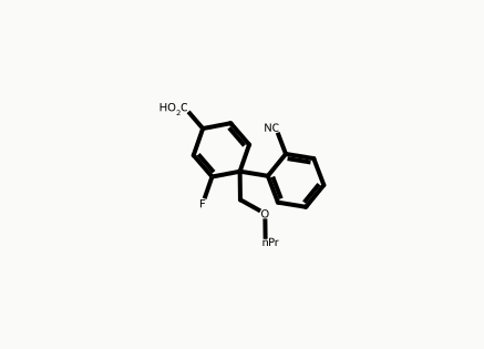 CCCOCC1(c2ccccc2C#N)C=CC(C(=O)O)C=C1F